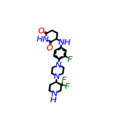 O=C1CCC(Nc2ccc(N3CCN(C4CCNCC4(F)F)CC3)c(F)c2)C(=O)N1